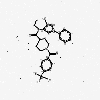 CCN(C(=O)C1CCN(C(=O)c2ccc(C(F)(F)F)nc2)CC1)c1cn(-c2cccnc2)nc1Cl